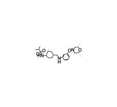 CC(C)S(=O)(=O)NC1CCC(CNc2cccc(ON3C[C@@H](C)O[C@@H](C)C3)c2)CC1